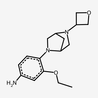 CCOc1cc(N)ccc1N1CC2CC1CN2C1COC1